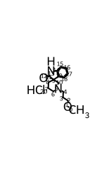 COCCCN1CCCC2(C1)C(=O)Nc1ccccc12.Cl